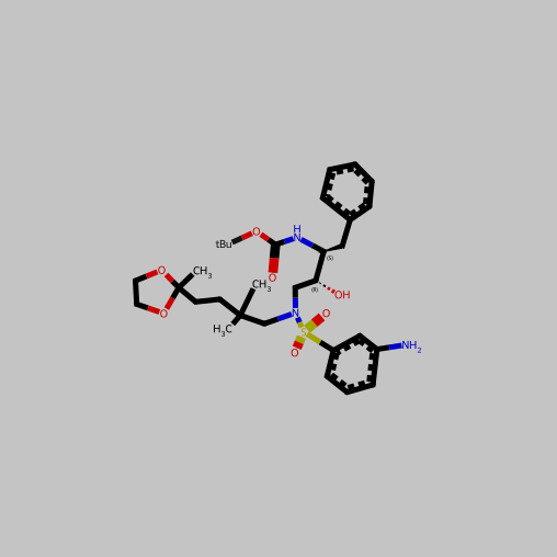 CC(C)(CCC1(C)OCCO1)CN(C[C@@H](O)[C@H](Cc1ccccc1)NC(=O)OC(C)(C)C)S(=O)(=O)c1cccc(N)c1